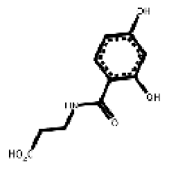 O=C(O)CCNC(=O)c1ccc(O)cc1O